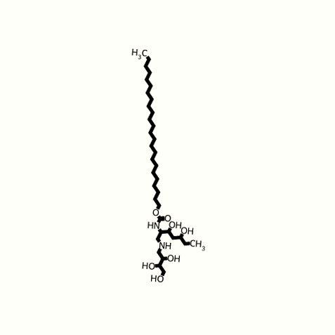 CCCCCCCCCCCCCCCCCCCCCCCCOC(=O)NC(CNCC(O)C(O)CO)C(O)CC(O)CC